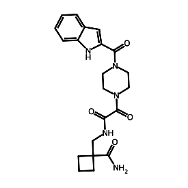 NC(=O)C1(CNC(=O)C(=O)N2CCN(C(=O)c3cc4ccccc4[nH]3)CC2)CCC1